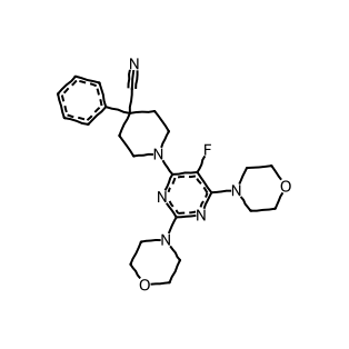 N#CC1(c2ccccc2)CCN(c2nc(N3CCOCC3)nc(N3CCOCC3)c2F)CC1